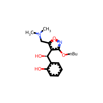 CCCCOc1noc(CN(C)C)c1[C@H](O)c1ccccc1O